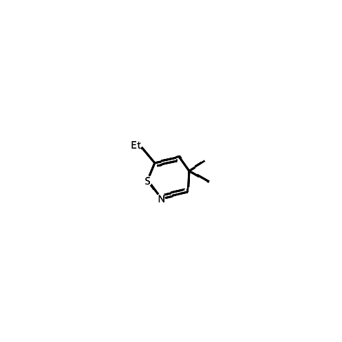 CCC1=CC(C)(C)C=NS1